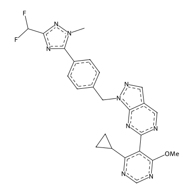 COc1ncnc(C2CC2)c1-c1ncc2cnn(Cc3ccc(-c4nc(C(F)F)nn4C)cc3)c2n1